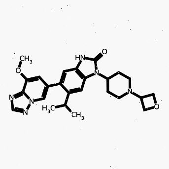 COc1cc(-c2cc3[nH]c(=O)n(C4CCN(C5COC5)CC4)c3cc2C(C)C)cn2ncnc12